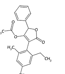 CCc1cc(C)cc(C)c1C1=C(OC(C)=O)C(c2ccccc2)OC1=O